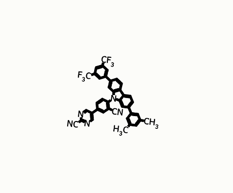 Cc1cc(C)cc(-c2ccc3c4ccc(-c5cc(C(F)(F)F)cc(C(F)(F)F)c5)cc4n(-c4ccc(-c5cnc(C#N)nc5)cc4C#N)c3c2)c1